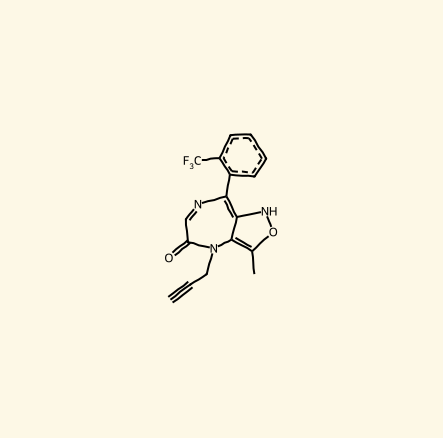 C#CCN1C(=O)C=NC(c2ccccc2C(F)(F)F)=C2NOC(C)=C21